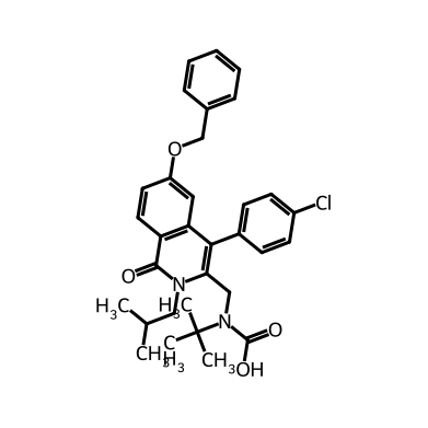 CC(C)Cn1c(CN(C(=O)O)C(C)(C)C)c(-c2ccc(Cl)cc2)c2cc(OCc3ccccc3)ccc2c1=O